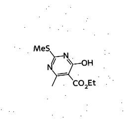 CCOC(=O)c1c(C)nc(SC)nc1O